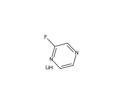 Fc1cnccn1.[LiH]